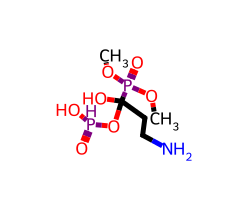 COP(=O)(OC)C(O)(CCN)O[PH](=O)O